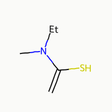 C=C(S)N(C)CC